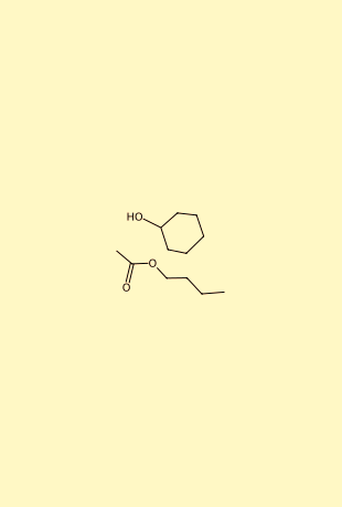 CCCCOC(C)=O.OC1CCCCC1